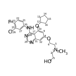 CN(CCO)CCOc1cc(OC2CCCC2)c2c(Nc3ccc(F)c(Cl)c3)ncnc2c1